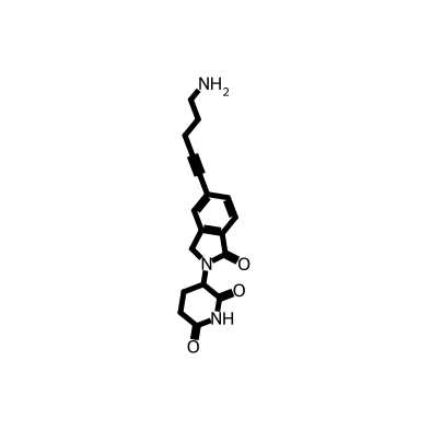 NCCCC#Cc1ccc2c(c1)CN(C1CCC(=O)NC1=O)C2=O